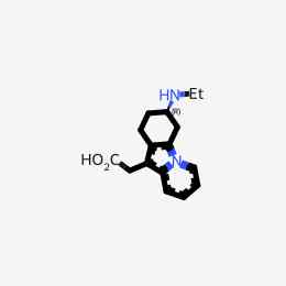 CCN[C@@H]1CCc2c(CC(=O)O)c3ccccn3c2C1